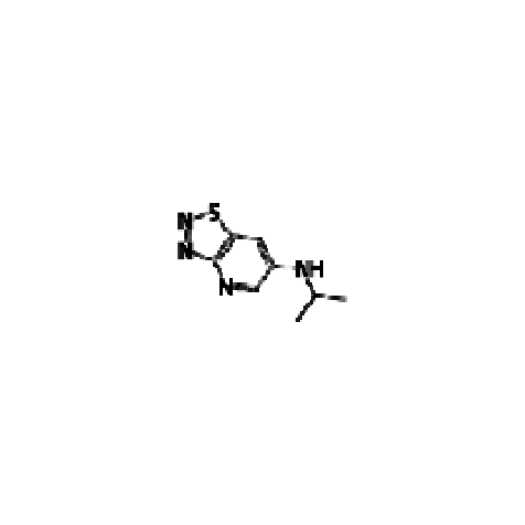 CC(C)Nc1cnc2nnsc2c1